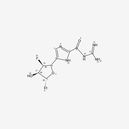 CC[C@H]1OC(c2cnc(C(=O)NC(=N)N)[nH]2)[C@H](F)[C@@H]1O